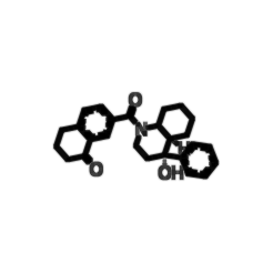 O=C1CCCc2ccc(C(=O)N3CC[C@](O)(c4ccccc4)[C@H]4CCCCC43)cc21